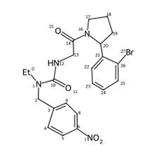 CCN(Cc1ccc([N+](=O)[O-])cc1)C(=O)NCC(=O)N1CCCC1c1ccccc1Br